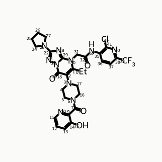 CCc1c(N2CCN(C(=O)c3ncccc3O)CC2)c(=O)n2nc(N3CCCC3)nc2n1CC(=O)Nc1ccc(C(F)(F)F)nc1Cl